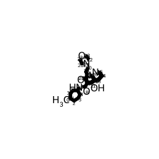 C[C@@H]1CCCC(NC(=O)c2c(O)c3cccnc3n(CCN3CCOCC3)c2=O)CC1